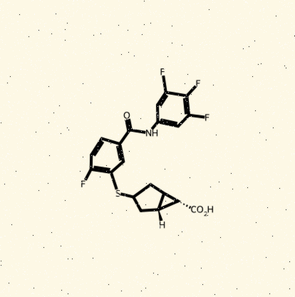 O=C(Nc1cc(F)c(F)c(F)c1)c1ccc(F)c(SC2CC3[C@@H](C2)[C@H]3C(=O)O)c1